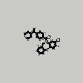 C=C(c1ccncc1)c1ccc(C(=O)N2Cc3ccccc3Oc3ccc(Cl)cc32)cc1